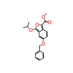 COC(=O)c1oc(OC(C)C)c2cc(OCc3ccccc3)ccc12